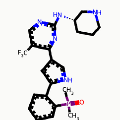 CP(C)(=O)c1ccccc1-c1cc(-c2nc(N[C@H]3CCCNC3)ncc2C(F)(F)F)c[nH]1